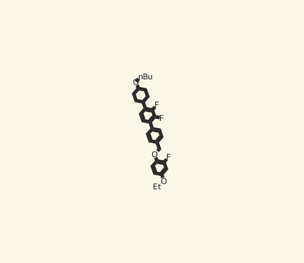 CCCCOC1CCC(c2ccc(-c3ccc(COc4ccc(OCC)cc4F)cc3)c(F)c2F)CC1